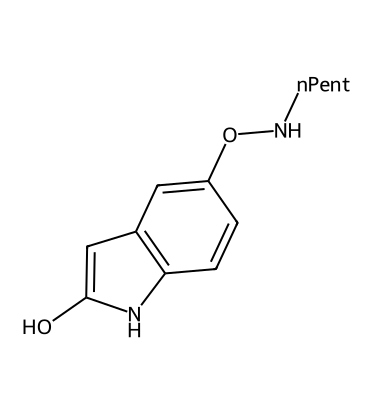 CCCCCNOc1ccc2[nH]c(O)cc2c1